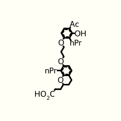 CCCc1c(OCCCOc2ccc3c(c2CCC)OC(CCC(=O)O)CC3)ccc(C(C)=O)c1O